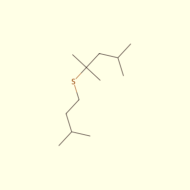 CC(C)CCSC(C)(C)CC(C)C